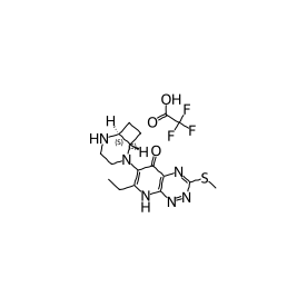 CCc1[nH]c2nnc(SC)nc2c(=O)c1N1CCN[C@H]2CC[C@@H]21.O=C(O)C(F)(F)F